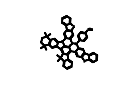 CC(C)(C)c1ccc(N2B3c4cc5sc6ccccc6c5cc4-n4c5cc6c(cc5c5c7c(c(c3c54)-c3cc4sc5ccccc5c4cc32)-c2ccccc2C7(C)C)C(C)(C)CCC6(C)C)cc1